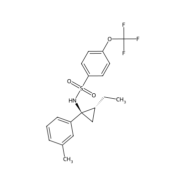 CC[C@@H]1C[C@]1(NS(=O)(=O)c1ccc(OC(F)(F)F)cc1)c1cccc(C)c1